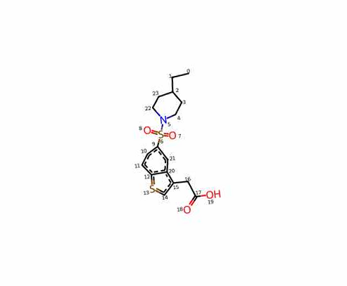 CCC1CCN(S(=O)(=O)c2ccc3scc(CC(=O)O)c3c2)CC1